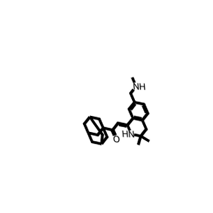 CNCc1ccc2c(c1)C(=CC(=O)C13CC4CC(CC(C4)C1)C3)NC(C)(C)C2